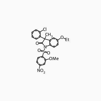 CCOc1ccc2c(c1)C(C)(c1ccccc1Cl)C(=O)N2S(=O)(=O)c1ccc([N+](=O)[O-])cc1OC